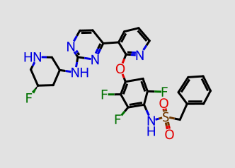 O=S(=O)(Cc1ccccc1)Nc1c(F)cc(Oc2ncccc2-c2ccnc(NC3CNC[C@H](F)C3)n2)c(F)c1F